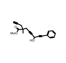 C#CCC(C)(CC#CC(O)C#Cc1ccccc1)C(=O)OC